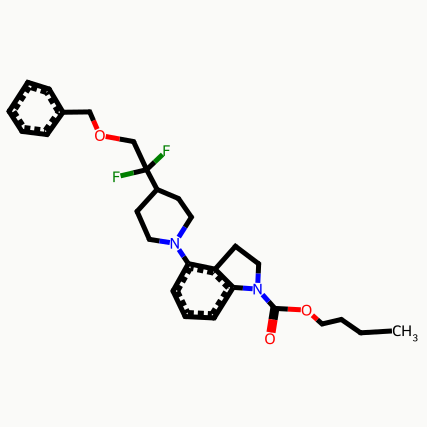 CCCCOC(=O)N1CCc2c(N3CCC(C(F)(F)COCc4ccccc4)CC3)cccc21